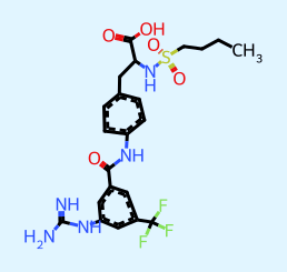 CCCCS(=O)(=O)NC(Cc1ccc(NC(=O)c2cc(NC(=N)N)cc(C(F)(F)F)c2)cc1)C(=O)O